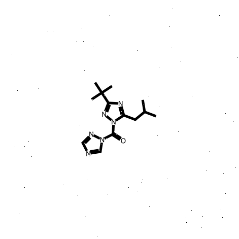 CC(C)Cc1nc(C(C)(C)C)nn1C(=O)n1cncn1